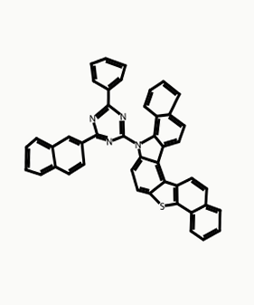 c1ccc(-c2nc(-c3ccc4ccccc4c3)nc(-n3c4ccc5sc6c7ccccc7ccc6c5c4c4ccc5ccccc5c43)n2)cc1